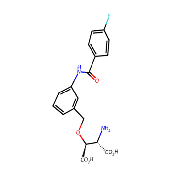 N[C@H](C(=O)O)[C@H](OCc1cccc(NC(=O)c2ccc(F)cc2)c1)C(=O)O